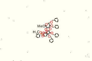 CO[C@H]1O[C@H](COCc2ccccc2)[C@@H](OCc2ccccc2)[C@H](O[C@@H]2O[C@@H](COS(=O)(=O)c3ccccc3C)[C@@H](OCc3ccccc3)[C@@H]2OCc2ccccc2)[C@@H]1OCc1ccccc1